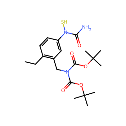 CCc1ccc(N(S)C(N)=O)cc1CN(C(=O)OC(C)(C)C)C(=O)OC(C)(C)C